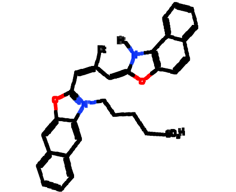 CCC(=Cc1oc2cc3ccccc3cc2[n+]1CCCCS(=O)(=O)O)C=C1Oc2ccc3ccccc3c2N1CC